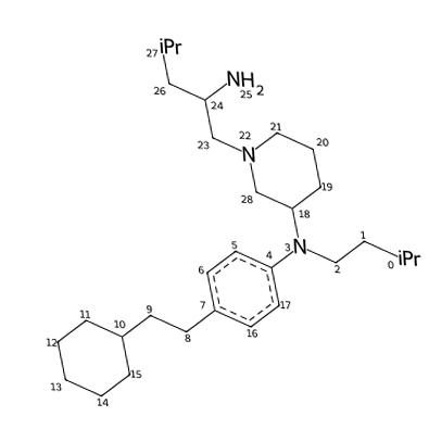 CC(C)CCN(c1ccc(CCC2CCCCC2)cc1)C1CCCN(CC(N)CC(C)C)C1